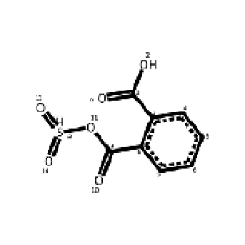 O=C(O)c1ccccc1C(=O)O[SH](=O)=O